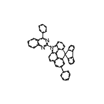 c1ccc(-c2cc3c4c(ccc5c4c4c(cccc4n5-c4nc(-c5ccccc5)c5ccccc5n4)C34c3ccccc3-c3ccccc34)c2)cc1